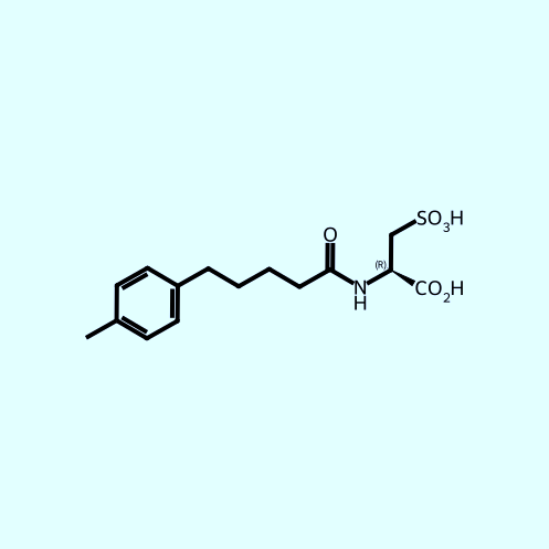 Cc1ccc(CCCCC(=O)N[C@@H](CS(=O)(=O)O)C(=O)O)cc1